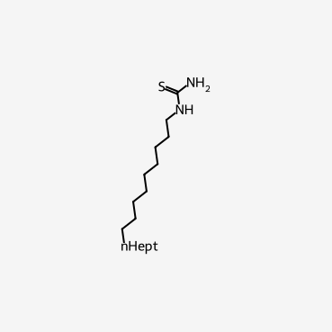 CCCCCCCCCCCCCCCCNC(N)=S